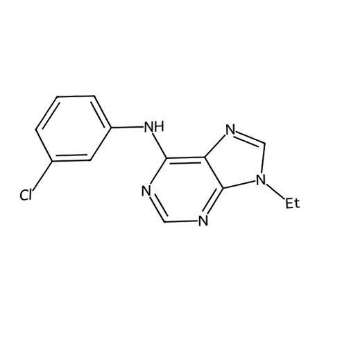 CCn1cnc2c(Nc3cccc(Cl)c3)ncnc21